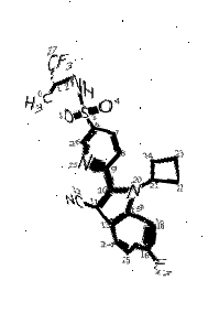 C[C@@H](NS(=O)(=O)c1ccc(-c2c(C#N)c3ccc(F)cc3n2C2CCC2)nc1)C(F)(F)F